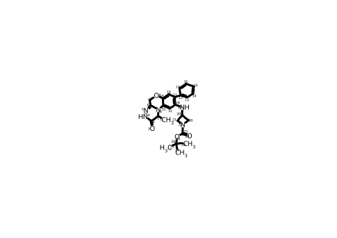 CC1C(=O)NN=C2COc3cc(-c4ccccc4)c(NC4CN(C(=O)OC(C)(C)C)C4)cc3N21